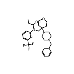 CCC(O)N(CC1(N2CCN(Cc3ccccc3)CC2)CCOCC1)c1cccc(C(F)(F)F)n1